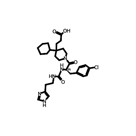 O=C(O)CCC1(C2CCCCC2)CCN(C(=O)[C@@H](Cc2ccc(Cl)cc2)NC(=O)NCCc2c[nH]cn2)CC1